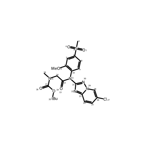 COc1cc(S(C)(=O)=O)ccc1N(C(=O)CN(C)C(=O)OC(C)(C)C)c1nc2ccc(Cl)cn2n1